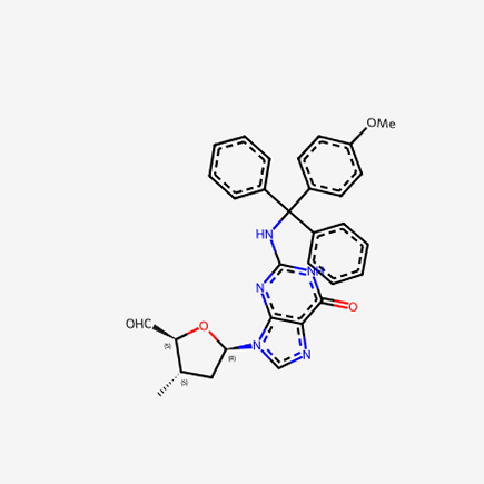 COc1ccc(C(Nc2nc3c(ncn3[C@H]3C[C@H](C)[C@@H](C=O)O3)c(=O)[nH]2)(c2ccccc2)c2ccccc2)cc1